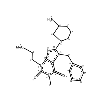 COCCn1c(=O)n(C)c(=O)c2c1nc(N1CCCC(N)C1)n2Cc1ccccc1